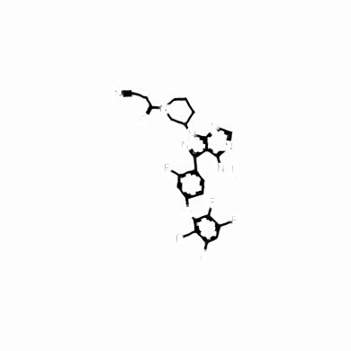 N#CCC(=O)N1CCCC(n2nc(-c3ccc(Oc4c(F)c(F)cc(F)c4F)cc3F)c3c(N)ncnc32)C1